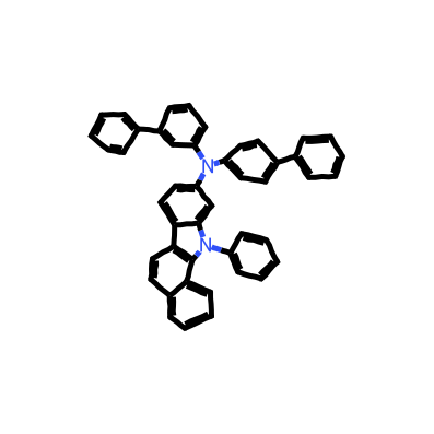 c1ccc(-c2ccc(N(c3cccc(-c4ccccc4)c3)c3ccc4c5ccc6ccccc6c5n(-c5ccccc5)c4c3)cc2)cc1